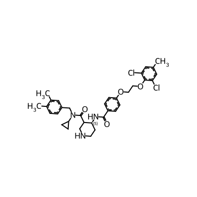 Cc1cc(Cl)c(OCCOc2ccc(C(=O)N[C@H]3CCNCC3C(=O)N(Cc3ccc(C)c(C)c3)C3CC3)cc2)c(Cl)c1